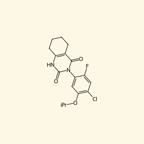 CC(C)Oc1cc(-n2c(=O)[nH]c3c(c2=O)CCCC3)c(F)cc1Cl